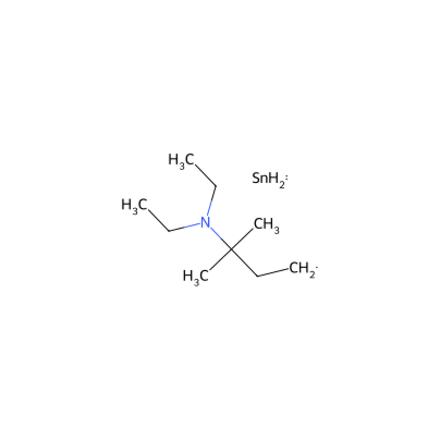 [CH2]CC(C)(C)N(CC)CC.[SnH2]